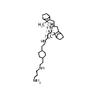 CC1(C)C2CCC(C2)C1CC(CC1C2CCC(C2)C1(C)C)NCCCNCCC1CCC(CCNCCCN)CC1